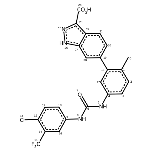 Cc1ccc(NC(=O)Nc2ccc(Cl)c(C(F)(F)F)c2)cc1-c1ccc2c(C(=O)O)n[nH]c2c1